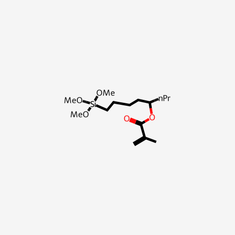 C=C(C)C(=O)OC(CCC)CCCC[Si](OC)(OC)OC